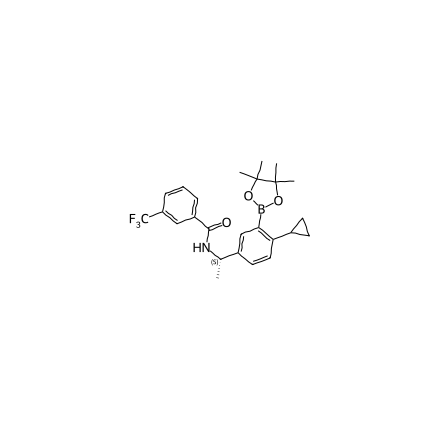 C[C@H](NC(=O)c1cccc(C(F)(F)F)c1)c1ccc(C2CC2)c(B2OC(C)(C)C(C)(C)O2)c1